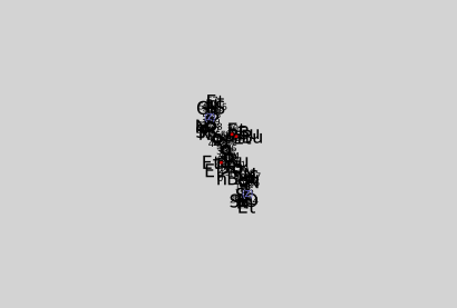 CCCCC(CC)CC1(CC(CC)CCCC)c2cc(-c3ccc(/C=C4\SC(=S)N(CC)C4=O)c4nsnc34)ccc2-c2cc3cc4c(cc3cc21)-c1ccc(-c2ccc(/C=C3\SC(=S)N(CC)C3=O)c3nsnc23)cc1C4(CC(CC)CCCC)CC(CC)CCCC